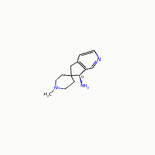 CN1CCC2(CC1)Cc1ccncc1[C@H]2N